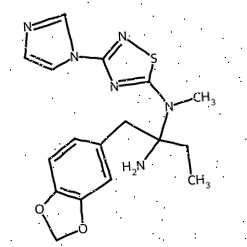 CCC(N)(Cc1ccc2c(c1)OCO2)N(C)c1nc(-n2ccnc2)ns1